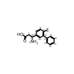 N[C@@H](CC(=O)O)c1ccc(F)c(-c2ccccc2)c1